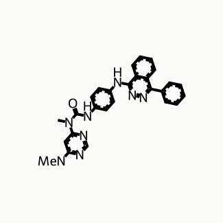 CNc1cc(N(C)C(=O)Nc2ccc(Nc3nnc(-c4ccccc4)c4ccccc34)cc2)ncn1